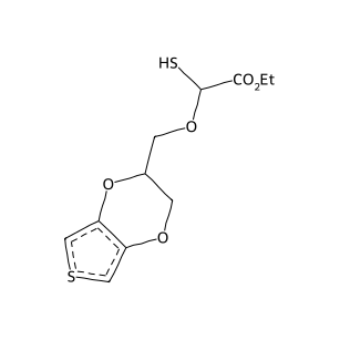 CCOC(=O)C(S)OCC1COc2cscc2O1